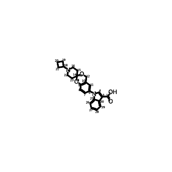 O=C(O)c1cn(-c2ccc3c(c2)COC2(CCN(C4CCC4)CC2)O3)c2ccccc12